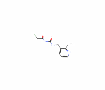 COc1ncccc1CNC(=O)NC(=O)CCl